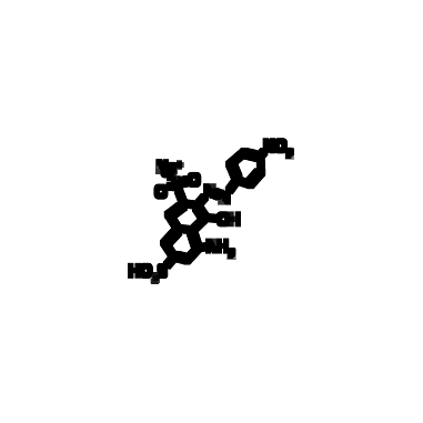 Nc1cc(S(=O)(=O)O)cc2cc(S(=O)(=O)[O-])c(N=Nc3ccc([N+](=O)[O-])cc3)c(O)c12.[Na+]